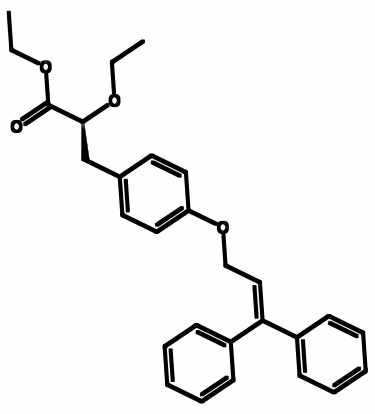 CCOC(=O)[C@H](Cc1ccc(OCC=C(c2ccccc2)c2ccccc2)cc1)OCC